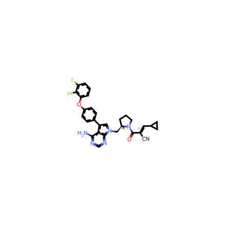 N#C/C(=C\C1CC1)C(=O)N1CCC[C@@H]1Cn1cc(-c2ccc(Oc3cccc(F)c3F)cc2)c2c(N)ncnc21